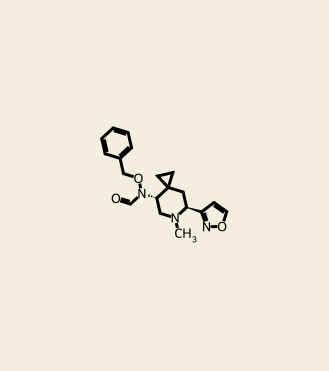 CN1C[C@H](N(C=O)OCc2ccccc2)C2(CC2)C[C@H]1c1ccon1